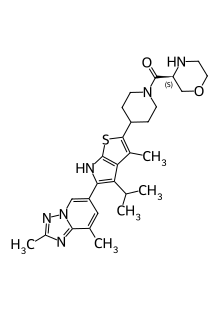 Cc1nc2c(C)cc(-c3[nH]c4sc(C5CCN(C(=O)[C@@H]6COCCN6)CC5)c(C)c4c3C(C)C)cn2n1